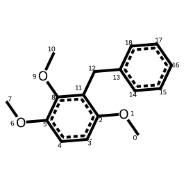 COc1[c]cc(OC)c(OC)c1Cc1ccccc1